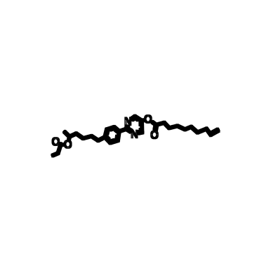 C=CCCCCCCCC(=O)Oc1cnc(-c2ccc(CCCCC(C)OC(=O)CC)cc2)nc1